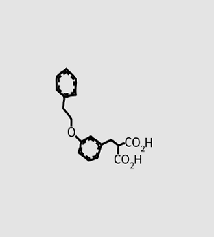 O=C(O)C(Cc1cccc(OCCc2ccccc2)c1)C(=O)O